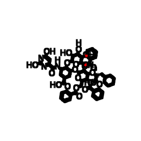 CC1OC(OC2C(NC(=O)c3cc(O)nc(O)n3)CC(C(=O)O)CC2OC2OC(COC(=O)c3ccccc3)C(OC(=O)c3ccccc3)C(O[C@@H](CC3CCCCC3)C(=O)O)C2OC(=O)c2ccccc2)C(O)C(O)C1O